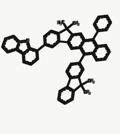 CC1(C)c2ccccc2-c2ccc(-c3c4ccccc4c(-c4ccccc4)c4cc5c(cc34)-c3cc(-c4cccc6c4oc4ccccc46)ccc3C5(C)C)cc21